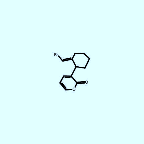 O=c1occcc1C1CCCCC1=CBr